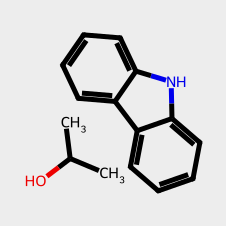 CC(C)O.c1ccc2c(c1)[nH]c1ccccc12